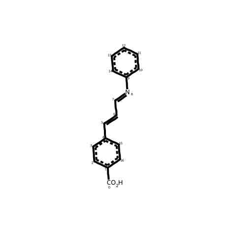 O=C(O)c1ccc(C=CC=Nc2ccccc2)cc1